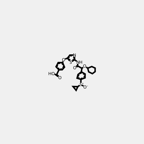 O=C(O)c1ccc(Oc2cnc(NC(=O)C(OC3CCCCC3)c3ccc([S+]([O-])C4CC4)cc3)s2)cc1